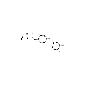 C=CS(=O)(=O)N1CCc2cc(Oc3ccc(C(F)(F)F)c(F)c3)ccc2C1